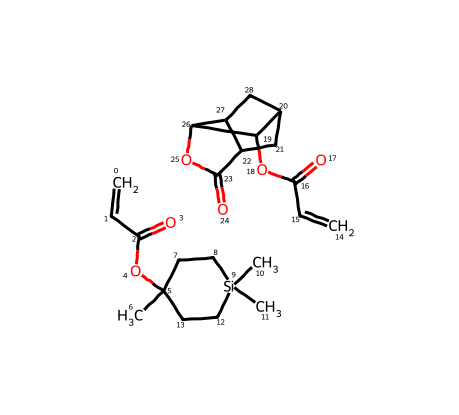 C=CC(=O)OC1(C)CC[Si](C)(C)CC1.C=CC(=O)OC1C2CC3C(=O)OC1C3C2